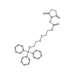 C=C1CCC(=O)N1OC(=O)OCCSSCCOC(c1ccccc1)(c1ccccc1)c1ccccc1